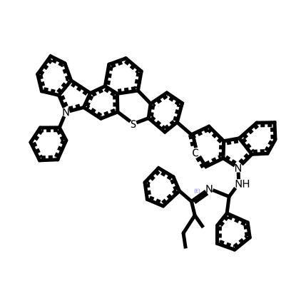 CCC(C)/C(=N\C(Nn1c2ccccc2c2cc(-c3ccc4c(c3)Sc3cc5c(c6cccc-4c36)c3ccccc3n5-c3ccccc3)ccc21)c1ccccc1)c1ccccc1